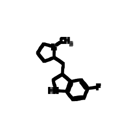 CN1CCCC1CC1CNc2ccc(F)cc21